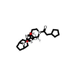 CC(C)N1CC2CCC(C1)N2c1nc2c(s1)CN(C(=O)CC1CCCC1)CC2